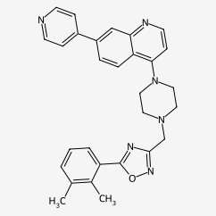 Cc1cccc(-c2nc(CN3CCN(c4ccnc5cc(-c6ccncc6)ccc45)CC3)no2)c1C